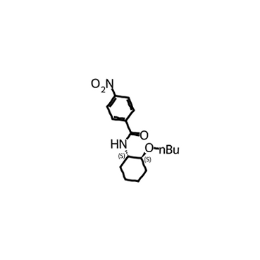 CCCCO[C@H]1CCCC[C@@H]1NC(=O)c1ccc([N+](=O)[O-])cc1